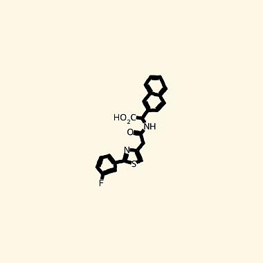 O=C(Cc1csc(-c2cccc(F)c2)n1)NC(C(=O)O)c1ccc2ccccc2c1